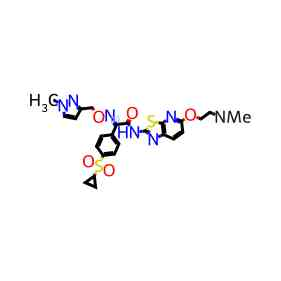 CNCCOc1ccc2nc(NC(=O)/C(=N/OCc3ccn(C)n3)c3ccc(S(=O)(=O)C4CC4)cc3)sc2n1